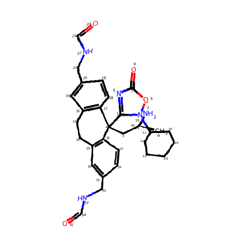 C[C@H](N)CC1(c2nc(=O)on2C2CCCCC2)c2ccc(CNC=O)cc2CCc2cc(CNC=O)ccc21